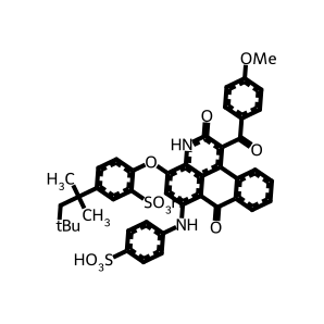 COc1ccc(C(=O)c2c3c4c(c(Nc5ccc(S(=O)(=O)O)cc5)cc(Oc5ccc(C(C)(C)CC(C)(C)C)cc5S(=O)(=O)O)c4[nH]c2=O)C(=O)c2ccccc2-3)cc1